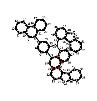 c1ccc(-c2ccc(-c3cc4ccccc4c4ccccc34)cc2N(c2cccc(-c3cccc4oc5ccccc5c34)c2)c2cccc3sc4ccccc4c23)cc1